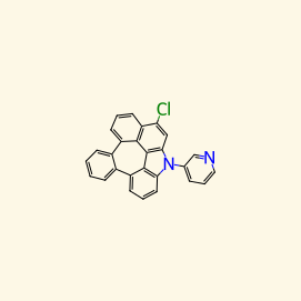 Clc1cc2c3c4c(cccc14)-c1ccccc1-c1cccc(c13)n2-c1cccnc1